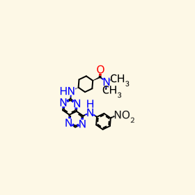 CN(C)C(=O)[C@H]1CC[C@H](Nc2ncc3ncnc(Nc4cccc([N+](=O)[O-])c4)c3n2)CC1